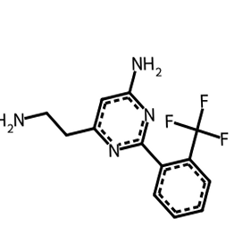 NCCc1cc(N)nc(-c2ccccc2C(F)(F)F)n1